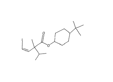 C/C=C\C(C)(C(=O)OC1CCC(C(C)(C)C)CC1)C(C)C